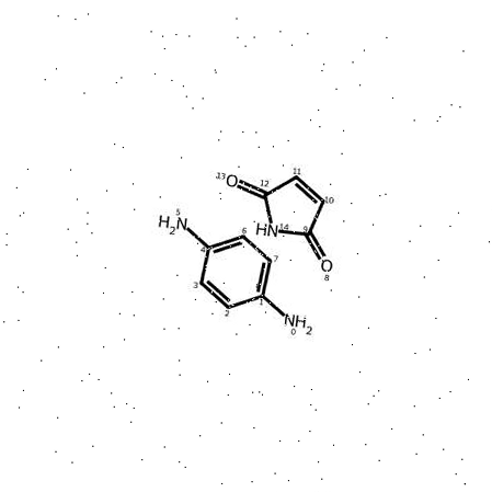 Nc1ccc(N)cc1.O=C1C=CC(=O)N1